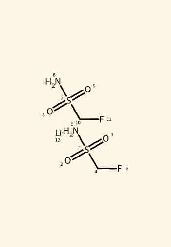 NS(=O)(=O)CF.NS(=O)(=O)CF.[Li]